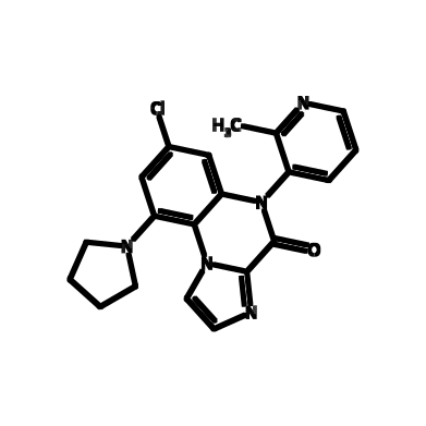 Cc1ncccc1-n1c(=O)c2nccn2c2c(N3CCCC3)cc(Cl)cc21